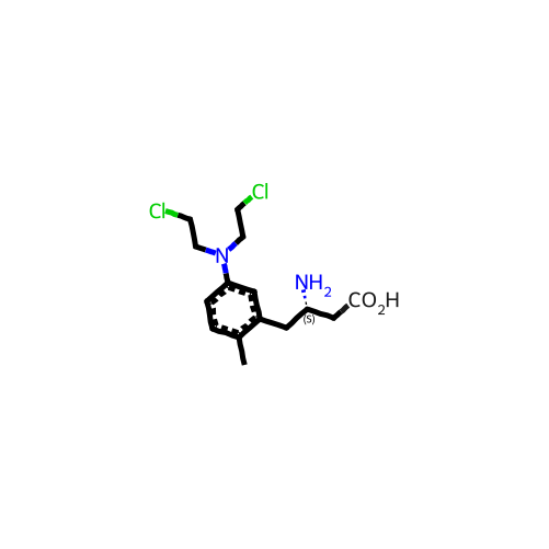 Cc1ccc(N(CCCl)CCCl)cc1C[C@H](N)CC(=O)O